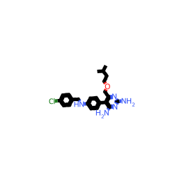 CC(C)CCOCc1nc(N)nc(N)c1-c1ccc(NCc2ccc(Cl)cc2)cc1